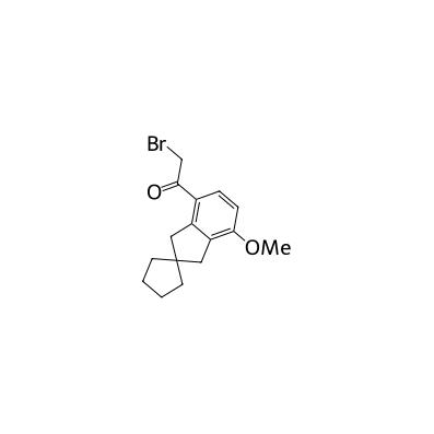 COc1ccc(C(=O)CBr)c2c1CC1(CCCC1)C2